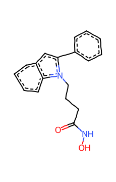 O=C(CCCn1c(-c2ccccc2)cc2ccccc21)NO